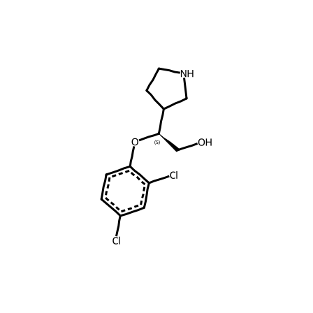 OC[C@@H](Oc1ccc(Cl)cc1Cl)C1CCNC1